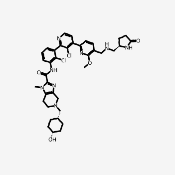 COc1nc(-c2ccnc(-c3cccc(NC(=O)c4nc5c(n4C)CCN(C[C@H]4CC[C@@H](O)CC4)C5)c3Cl)c2Cl)ccc1CNC[C@H]1CCC(=O)N1